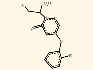 CC(C)CC(C(=O)O)n1ncc(Oc2ccccc2Cl)cc1=O